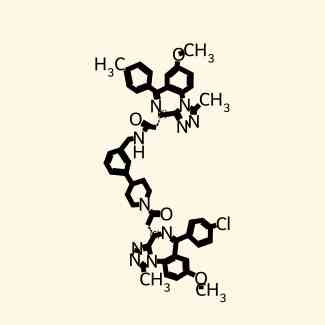 COc1ccc2c(c1)C(c1ccc(C)cc1)=N[C@@H](CC(=O)NCc1cccc(C3CCN(C(=O)C[C@@H]4N=C(c5ccc(Cl)cc5)c5cc(OC)ccc5-n5c(C)nnc54)CC3)c1)c1nnc(C)n1-2